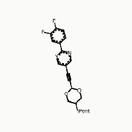 CCCCCC1COC(C#Cc2cnc(-c3ccc(F)c(F)c3)nc2)OC1